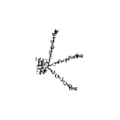 CC(=O)NC1C(C)OC(COC(C)=O)C(OC2OC(CCCOCCOCCOCCOCCON=[N+]=[N-])C(CCOCCOCCOCCOCCON=[N+]=[N-])C(CCOCCOCCOCCOCCON=[N+]=[N-])C2OC(C)=O)C1OC(C)=O